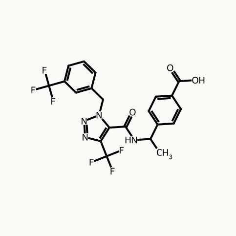 CC(NC(=O)c1c(C(F)(F)F)nnn1Cc1cccc(C(F)(F)F)c1)c1ccc(C(=O)O)cc1